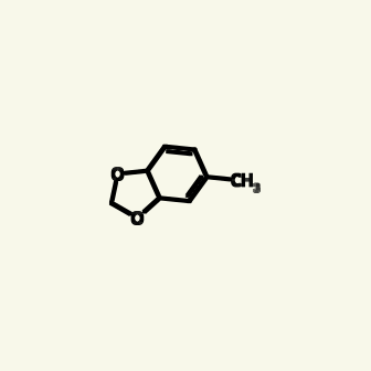 CC1=CC2OCOC2C=C1